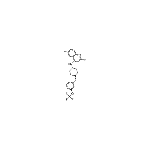 Cc1ccc2oc(=O)cc(NC3CCN(Cc4cccc(OC(F)(F)F)c4)CC3)c2c1